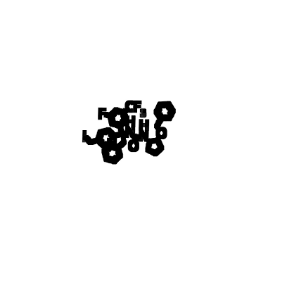 O=C(N[C@H]1CCC[C@@H]1OCc1ccccc1)N[C@@](Cc1ccccc1)(c1cc(F)cc(C(F)(F)F)c1)c1ccc(CI)cn1